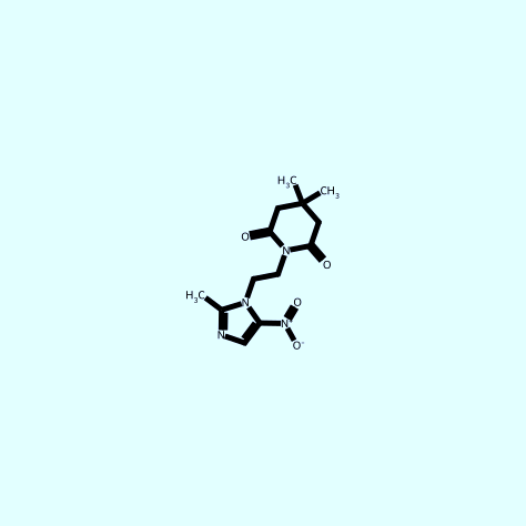 Cc1ncc([N+](=O)[O-])n1CCN1C(=O)CC(C)(C)CC1=O